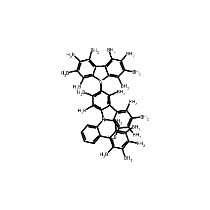 Bc1c(B)c(B)c(-c2ccccc2-n2c3c(B)c(B)c(B)c(B)c3c3c(B)c(-n4c5c(B)c(B)c(B)c(B)c5c5c(B)c(B)c(B)c(B)c54)c(B)c(B)c32)c(B)c1B